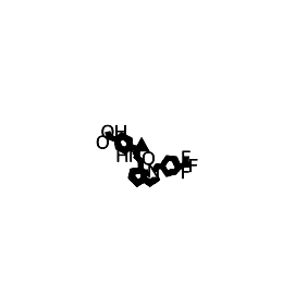 O=C(O)c1ccc(C2(NC(=O)c3cccc4ccn(CC5C=CC(C(F)(F)F)=CC5)c34)CC2)cc1